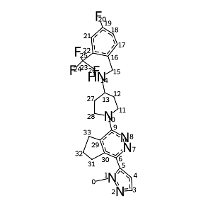 Cn1nccc1-c1nnc(N2CCC(NCc3ccc(F)cc3C(F)(F)F)CC2)c2c1CCC2